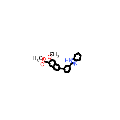 COC(=O)c1cc2ccc(-c3cccc(-c4nc5ccccc5[nH]4)c3)cc2cc1OC